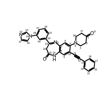 O=C1CCN(c2cc3c(cc2C#Cc2ccccc2)NC(=O)CC(c2cccc(-n4ccnc4)c2)=N3)CC1